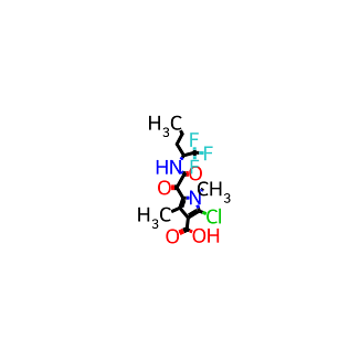 CCCC(NC(=O)C(=O)c1c(C)c(C(=O)O)c(Cl)n1C)C(F)(F)F